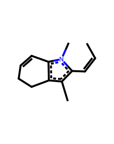 C/C=C\c1c(C)c2c(n1C)C=CCC2